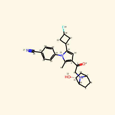 Cc1c(C(=O)CN2C3CCC2[C@H](O)C3)cc(C2CC(F)C2)n1-c1ccc(C#N)cc1